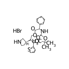 Br.CC(C)(C)OC(=O)NC(C(=O)OCC(C(=O)c1cccs1)[C@H]1CCNC1)c1ccccc1